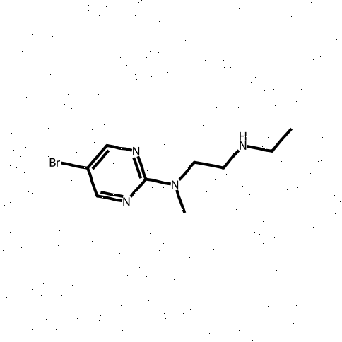 CCNCCN(C)c1ncc(Br)cn1